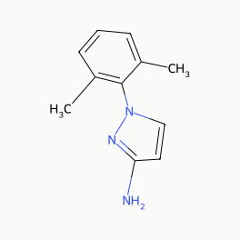 Cc1cccc(C)c1-n1ccc(N)n1